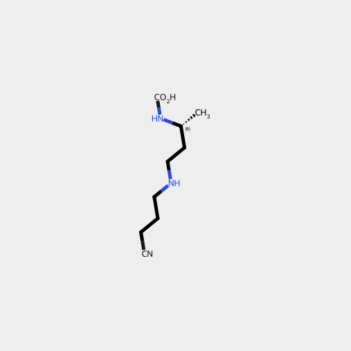 C[C@H](CCNCCCC#N)NC(=O)O